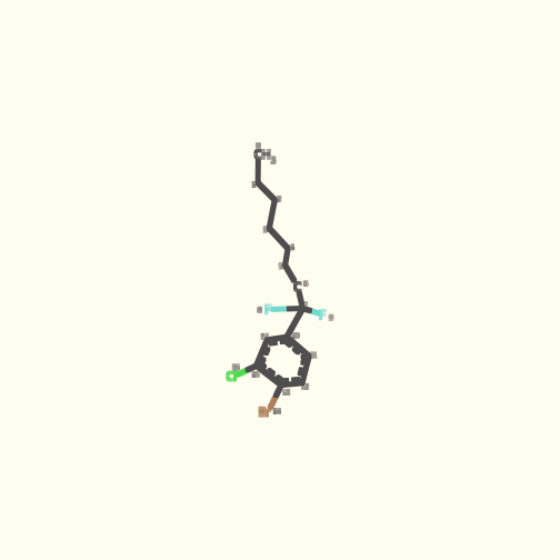 CCCCCCCC(F)(F)c1ccc(Br)c(Cl)c1